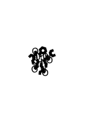 CCC(=O)N1CCN(CC(=O)NC(CC)CC)CC1.CCC(C(=O)NC1CCCCC1)N1CCN(C=O)CC1